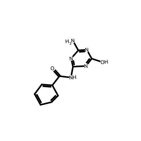 Nc1nc(O)nc(NC(=O)c2ccccc2)n1